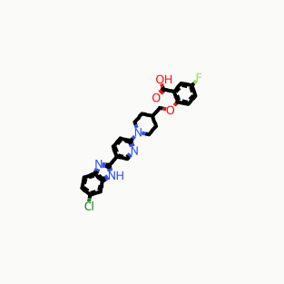 O=C(O)c1cc(F)ccc1OCC1CCN(c2ccc(-c3nc4ccc(Cl)cc4[nH]3)cn2)CC1